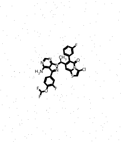 C[C@@H](c1cc2scc(Cl)n2c(=O)c1-c1cccc(F)c1)n1nc(-c2ccc(OC(F)F)c(F)c2)c2c(N)ncnc21